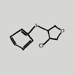 ClC1COCC1Sc1ccccc1